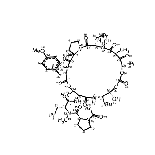 CC[C@H](C)[C@@H]1NC(=O)[C@@H](NC(=O)[C@@H](CC(C)C)N(C)C(=O)[C@@H]2CCCN2C(=O)C(C)=O)[C@@H](C)OC(=O)[C@H](Cc2ccc(OC)cc2)N(C)C(=O)[C@@H]2CCCN2C(=O)[C@H](CC(C)C)N(C)C(=O)[C@@H](C)C(=O)[C@H](C(C)C)OC(=O)C[C@@H]1O